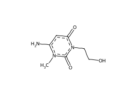 Cn1c(N)cc(=O)n(CCO)c1=O